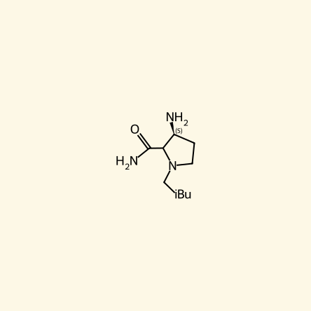 CCC(C)CN1CC[C@H](N)C1C(N)=O